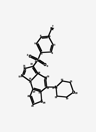 O=S(=O)(c1ccc(Br)cc1)c1nnn2c1nc(N1CCOCC1)c1sccc12